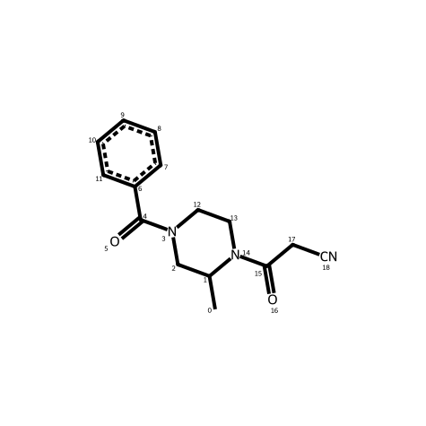 CC1CN(C(=O)c2ccccc2)CCN1C(=O)CC#N